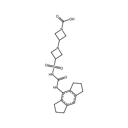 O=C(Nc1c2c(cc3c1CCC3)CCC2)NS(=O)(=O)C1CN(C2CN(C(=O)O)C2)C1